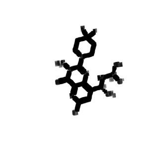 C[C@@H](N[S@+]([O-])C(C)(C)C)c1cc(Cl)nc2c(=O)n(C)c(N3CCC(F)(F)CC3)nc12